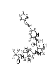 Cc1cc(C#Cc2cccs2)cnc1NC(=O)c1c(Cl)cnn1[C@H]1C[C@@H]2CN(C(=O)C(C)(C)C)C[C@@H]2C1